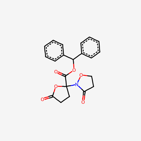 O=C1CCC(C(=O)OC(c2ccccc2)c2ccccc2)(N2OCCC2=O)O1